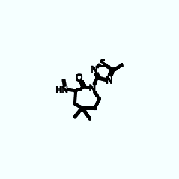 CNC1CC(C)(C)CCN(c2nsc(C)n2)C1=O